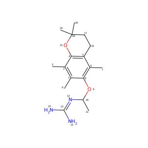 Cc1c(C)c2c(c(C)c1OC(C)N=C(N)N)CCC(C)(C)O2